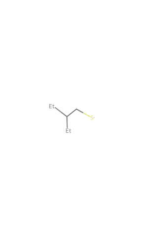 CCC(CC)C[S]